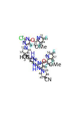 COCC(Oc1nc(Cl)nc(N2CCC(C#N)CC2)c1F)c1ncc(F)cc1F.COCC(Oc1nc(Nc2cc(C)[nH]n2)nc(N2CCC(C#N)CC2)c1F)c1ncc(F)cc1F